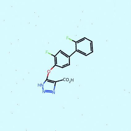 O=C(O)c1nn[nH]c1Oc1ccc(-c2ccccc2F)cc1F